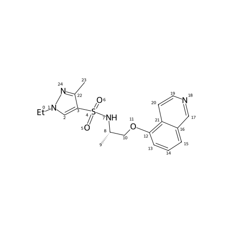 CCn1cc(S(=O)(=O)N[C@@H](C)COc2cccc3cnccc23)c(C)n1